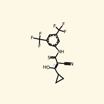 N#C/C(C(=S)Nc1cc(C(F)(F)F)cc(C(F)(F)F)c1)=C(/O)C1CC1